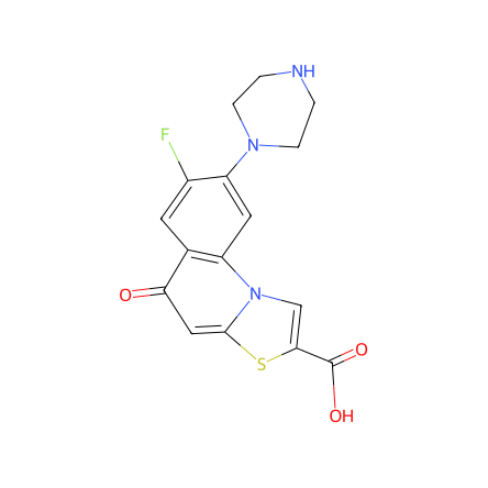 O=C(O)c1cn2c(cc(=O)c3cc(F)c(N4CCNCC4)cc32)s1